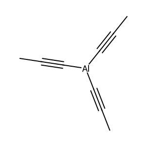 CC#[C][Al]([C]#CC)[C]#CC